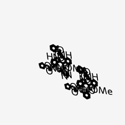 COc1cccc(C(=O)NS(=O)(=O)c2ccccc2C)c1C(C(=O)NC(C)n1ncnn1)c1c[nH]c2ccc(NC(=O)OC3CCCC3)cc12.COc1cccc(C(=O)NS(=O)(=O)c2ccccc2C)c1C(C(=O)Nc1ccccc1C)c1c[nH]c2ccc(NC(=O)OC3CCCC3)cc12